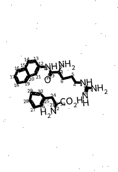 N=C(N)NCCC[C@H](N)C(=O)Nc1ccc2ccccc2c1.N[C@@H](Cc1ccccc1)C(=O)O